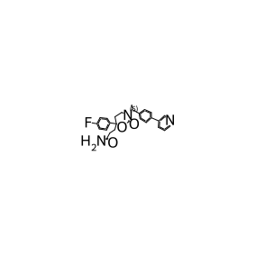 C[C@@H](c1ccc(-c2cccnc2)cc1)N1CCC(CCC(N)=O)(c2ccc(F)cc2)OC1=O